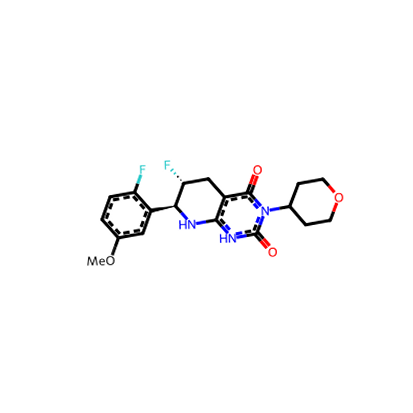 COc1ccc(F)c([C@@H]2Nc3[nH]c(=O)n(C4CCOCC4)c(=O)c3C[C@H]2F)c1